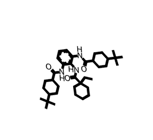 CCC1(C(=O)Nc2c(NC(=O)C3CCC(C(C)(C)C)CC3)cccc2NC(=O)C2CCC(C(C)(C)C)CC2)CCCCC1